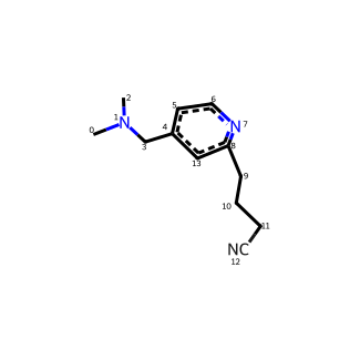 CN(C)Cc1ccnc(CCCC#N)c1